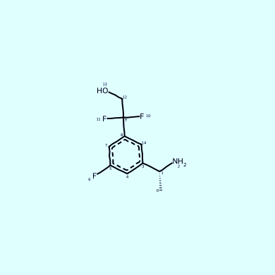 C[C@@H](N)c1cc(F)cc(C(F)(F)CO)c1